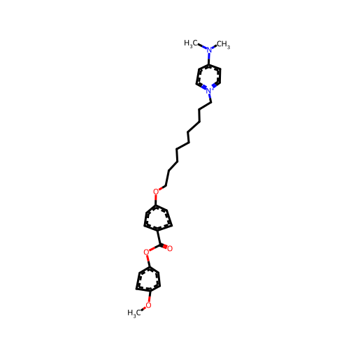 COc1ccc(OC(=O)c2ccc(OCCCCCCCCC[n+]3ccc(N(C)C)cc3)cc2)cc1